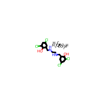 CC(=O)O.CC(=O)O.Oc1c(Cl)cc(Cl)cc1CNCCNCc1cc(Cl)cc(Cl)c1O